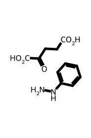 NNc1ccccc1.O=C(O)CCC(=O)C(=O)O